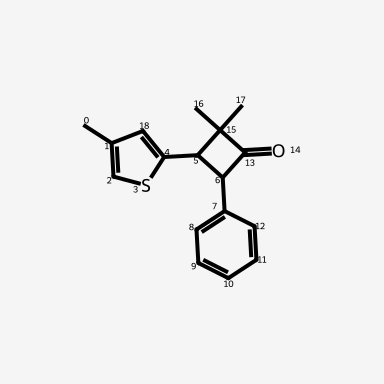 Cc1csc(C2C(c3ccccc3)C(=O)C2(C)C)c1